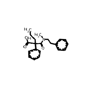 CCCC(C(=O)O)(C(=O)N(C)CCc1ccccc1)c1ccccc1